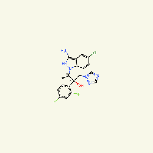 C[C@@H](N1NC(N)=C2C=C(Cl)C=CC21)[C@](O)(Cn1cncn1)c1ccc(F)cc1F